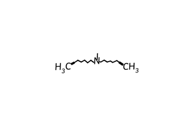 CC#CCCCCCCN(I)CCCCCCC#CC